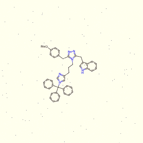 COc1ccc(Cc2nnc(Cc3c[nH]c4ccccc34)n2CCCc2cn(C(c3ccccc3)(c3ccccc3)c3ccccc3)cn2)cc1